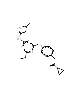 CCc1nc(Nc2nnc(C)s2)nc(Sc2ccc(NC(=O)C3CC3)cc2)n1